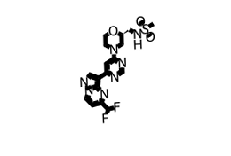 CS(=O)(=O)NC[C@@H]1CN(c2cc(-c3cnn4ccc(C(F)F)nc34)ncn2)CCO1